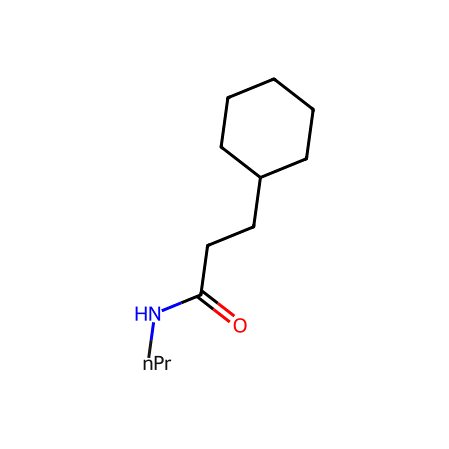 CCCNC(=O)CCC1CCCCC1